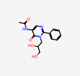 CC(=O)Nc1cnc(-c2ccccc2)n(CC(O)CO)c1=O